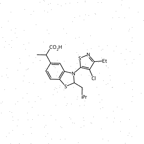 CCc1nsc(N2c3cc(C(C)C(=O)O)ccc3SC2CC(C)C)c1Cl